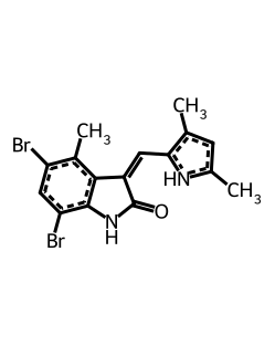 Cc1cc(C)c(C=C2C(=O)Nc3c(Br)cc(Br)c(C)c32)[nH]1